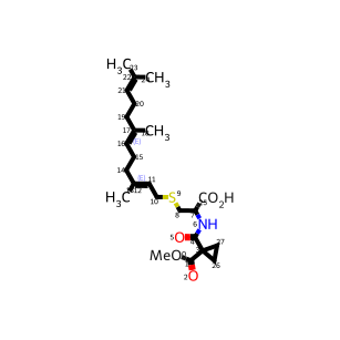 COC(=O)C1(C(=O)NC(CSC/C=C(\C)CC/C=C(\C)CCC=C(C)C)C(=O)O)CC1